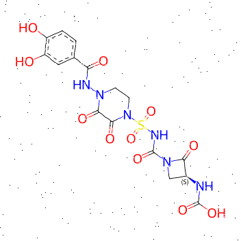 O=C(O)N[C@H]1CN(C(=O)NS(=O)(=O)N2CCN(NC(=O)c3ccc(O)c(O)c3)C(=O)C2=O)C1=O